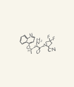 C[C@@H](Oc1ccnc2ccccc12)[C@H](N)C(=O)N1CC(F)(F)CC1C#N